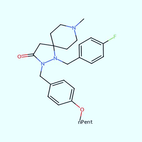 CCCCCOc1ccc(CN2C(=O)CC3(CCN(C)CC3)N2Cc2ccc(F)cc2)cc1